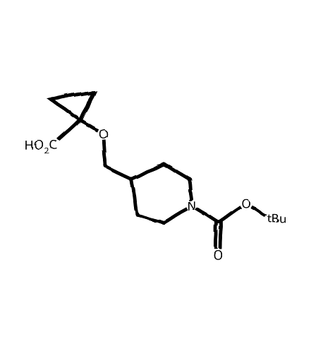 CC(C)(C)OC(=O)N1CCC(COC2(C(=O)O)CC2)CC1